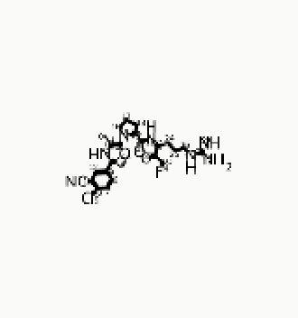 C[C@H](NC(=O)c1ccc(Cl)c(C#N)c1)C(=O)N1CCC[C@H]1C(=O)N[C@@H](CCCNC(=N)N)C(=O)CF